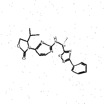 CC(C)C1COC(=O)N1c1ccnc(N[C@H](C)c2nc(-c3ccccc3)no2)n1